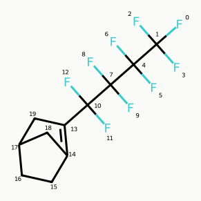 FC(F)(F)C(F)(F)C(F)(F)C(F)(F)C1=C2CCC(C2)C1